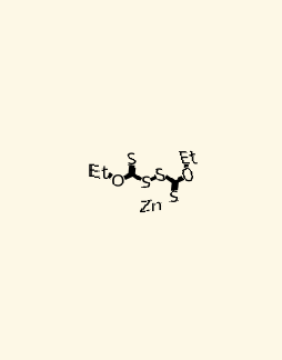 CCOC(=S)SSC(=S)OCC.[Zn]